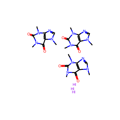 Cn1c(=O)c2c(ncn2C)n(C)c1=O.Cn1c(=O)c2c(ncn2C)n(C)c1=O.Cn1c(=O)c2c(ncn2C)n(C)c1=O.I.I.I